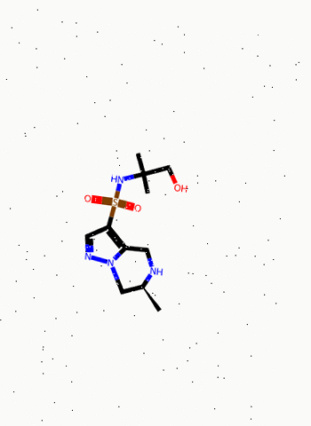 C[C@H]1Cn2ncc(S(=O)(=O)NC(C)(C)CO)c2CN1